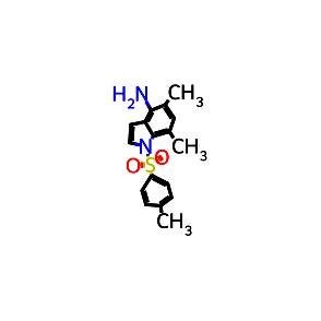 Cc1ccc(S(=O)(=O)n2ccc3c(N)c(C)cc(C)c32)cc1